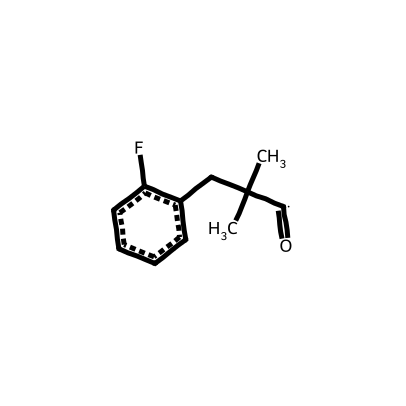 CC(C)([C]=O)Cc1ccccc1F